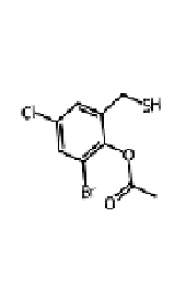 CC(=O)Oc1c(Br)cc(Cl)cc1CS